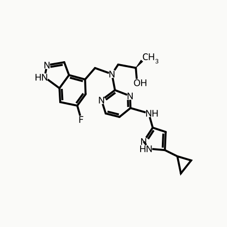 C[C@@H](O)CN(Cc1cc(F)cc2[nH]ncc12)c1nccc(Nc2cc(C3CC3)[nH]n2)n1